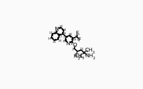 C[C@@H](COc1ncc(-c2ccnc3ccccc23)cc1C(F)F)CC(C)(C)N